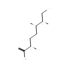 NC(=O)[C@H](O)[C@H](O)[C@@H](O)[C@@H](O)[C@H](O)CO